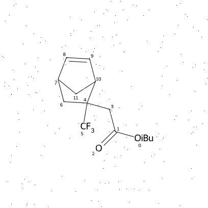 CC(C)COC(=O)CC1(C(F)(F)F)CC2C=CC1C2